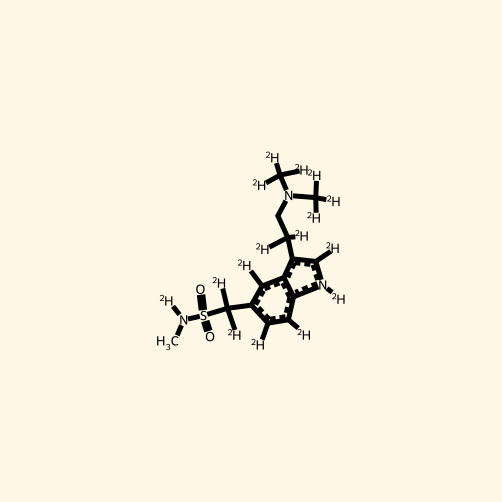 [2H]c1c(C([2H])([2H])S(=O)(=O)N([2H])C)c([2H])c2c(C([2H])([2H])CN(C([2H])([2H])[2H])C([2H])([2H])[2H])c([2H])n([2H])c2c1[2H]